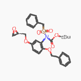 CC(C)(C)OC(=O)N(c1cc(OC[C@H]2CO2)ccc1OCc1ccccc1)S(=O)(=O)Cc1ccccc1